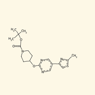 Cc1nc(-c2cnc(OC3CCN(C(=O)OC(C)(C)C)CC3)nc2)cs1